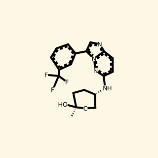 C[C@]1(O)CC[C@H](Nc2ccc3ncc(-c4cccc(C(F)(F)F)c4)n3n2)CC1